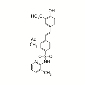 CC(C)=O.Cc1cccnc1NS(=O)(=O)c1ccc(C=Cc2ccc(O)c(C(=O)O)c2)cc1